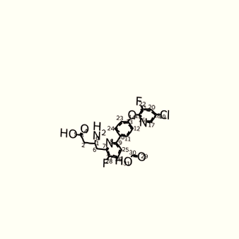 N[C@H](CC(=O)O)Cc1nc(-c2ccc(Oc3ncc(Cl)cc3F)cc2)ccc1F.O=CO